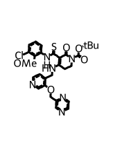 COc1c(Cl)cccc1NC(=S)C1=C(NCc2ccncc2OCc2cnccn2)CCN(C(=O)OC(C)(C)C)C1=O